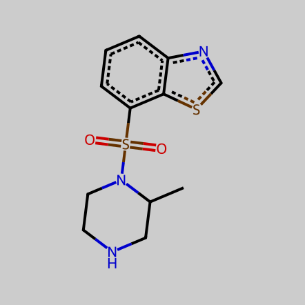 CC1CNCCN1S(=O)(=O)c1cccc2ncsc12